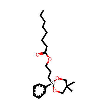 CCCCCCCC(=O)OCCC[Si]1(c2ccccc2)OCC(C)(C)CO1